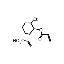 C=CC(=O)O.C=CC(=O)OC1CCCCC1CC